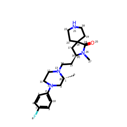 C[C@@H]1CN(c2ccc(F)cc2)CCN1CC[C@H]1CC2(CCNCC2)C(=O)N1C